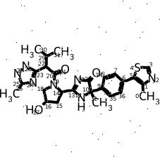 Cc1ncsc1-c1ccc(C2(C)NC(C3CC(O)CN3C(=O)C(C3=NC(C)N=N3)C(C)C)=NC2=O)cc1